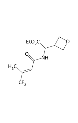 CCOC(=O)C(NC(=O)/C=C(\C)C(F)(F)F)C1COC1